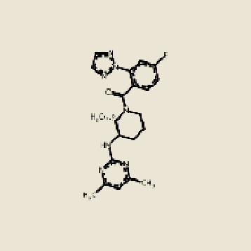 Cc1cc(C)nc(NC2CCCN(C(=O)c3ccc(F)cc3-n3nccn3)[C@H]2C)n1